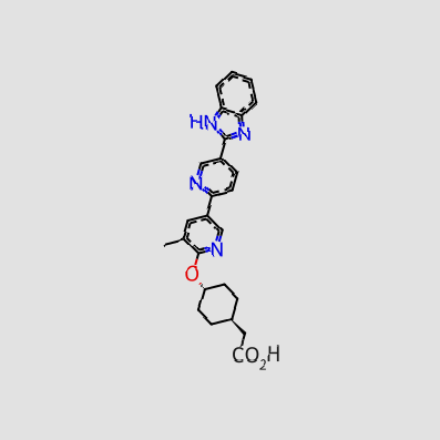 Cc1cc(-c2ccc(-c3nc4ccccc4[nH]3)cn2)cnc1O[C@H]1CC[C@H](CC(=O)O)CC1